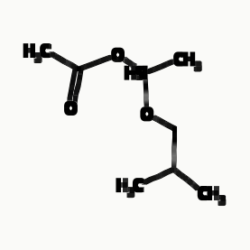 CC(=O)O[SiH](C)OCC(C)C